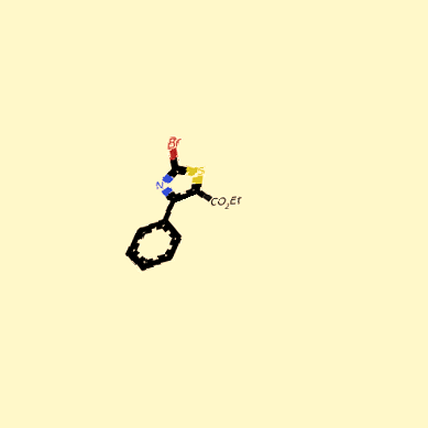 CCOC(=O)c1sc(Br)nc1-c1ccccc1